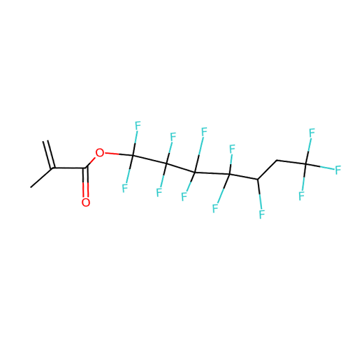 C=C(C)C(=O)OC(F)(F)C(F)(F)C(F)(F)C(F)(F)C(F)CC(F)(F)F